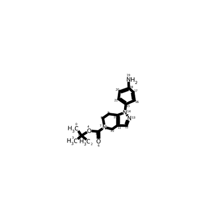 CC(C)(C)OC(=O)N1CCc2c(cnn2-c2ccc(N)cc2)C1